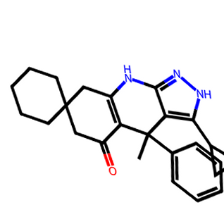 CC1(c2ccccc2)C2=C(CC3(CCCCC3)CC2=O)Nc2n[nH]c(C3CC3)c21